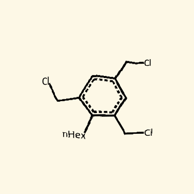 CCCCCCc1c(CCl)cc(CCl)cc1CCl